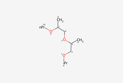 [CH2]C(C)OCC(C)OCC(C)OC[CH]C